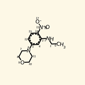 CCNc1cc(N2CCOCC2)ccc1[N+](=O)[O-]